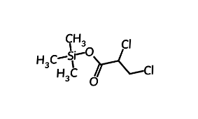 C[Si](C)(C)OC(=O)C(Cl)CCl